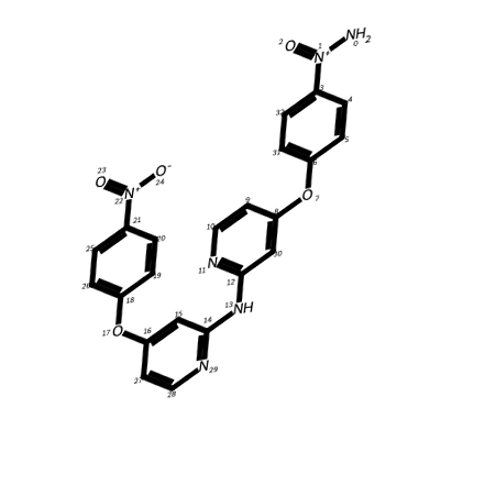 N[N+](=O)c1ccc(Oc2ccnc(Nc3cc(Oc4ccc([N+](=O)[O-])cc4)ccn3)c2)cc1